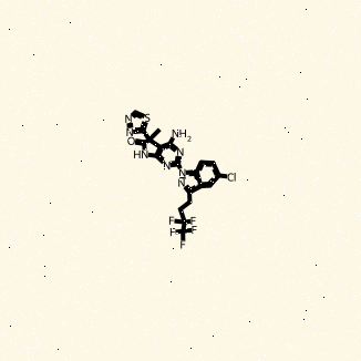 CC1(c2nncs2)C(=O)Nc2nc(-n3nc(CCC(F)(F)C(F)(F)F)c4cc(Cl)ccc43)nc(N)c21